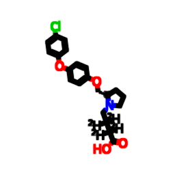 [2H]C([2H])(CN1CCC[C@H]1COc1ccc(Oc2ccc(Cl)cc2)cc1)C([2H])([2H])C(=O)O